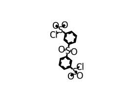 O=S(=O)(Cl)c1cccc(S(=O)(=O)c2cccc(S(=O)(=O)Cl)c2)c1